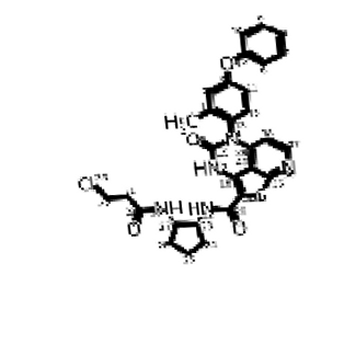 Cc1cc(Oc2ccccc2)ccc1N1C(=O)Nc2c(C(=O)N[C@@H]3CCC[C@@H]3NC(=O)CCCl)sc3nccc1c23